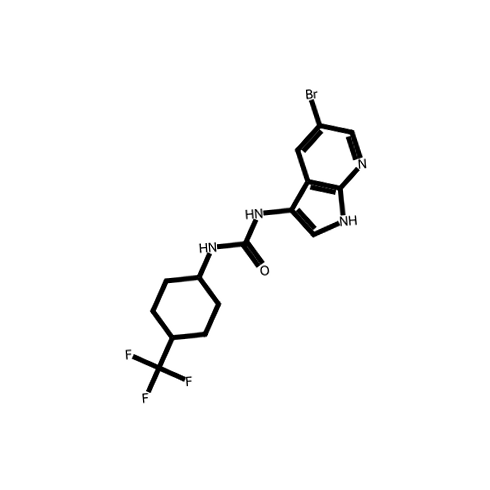 O=C(Nc1c[nH]c2ncc(Br)cc12)NC1CCC(C(F)(F)F)CC1